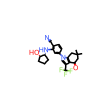 CC1(C)CC(=O)c2c(C(F)(F)F)cn(-c3ccc(C#N)c(N[C@@H]4CCC[C@H]4O)c3)c2C1